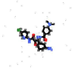 CN(C)C1CCC(C(=O)Nc2c(C(=O)Nc3ccc(Cl)cn3)oc3ccc(N)cc23)CC1